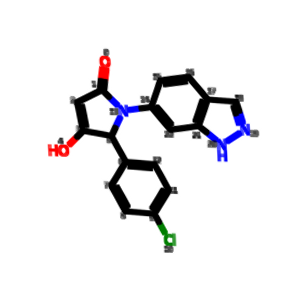 O=C1[C]=C(O)C(c2ccc(Cl)cc2)N1c1ccc2cn[nH]c2c1